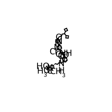 CC1(C)C[C@H](CCCNc2cccc(S(=O)(=O)NC(=O)c3ccc(-n4ccc(OCCC(C5CCC5)C5CCC5)n4)nc3Cl)n2)CN1C(=O)O